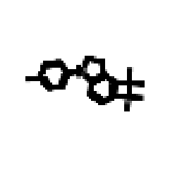 Cc1ccc(N2CCc3c2ccc2c3C(C)(C)C2(C)C)cc1